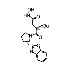 CCCC[C@H](CC(=O)NO)C(=O)N1CCC[C@H]1c1nc2ccccc2o1